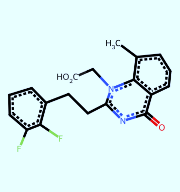 Cc1cccc2c(=O)nc(CCc3cccc(F)c3F)n(CC(=O)O)c12